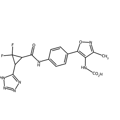 Cc1noc(-c2ccc(NC(=O)C3C(c4nnn[nH]4)C3(F)F)cc2)c1NC(=O)O